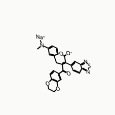 CN(C)c1cccc(CC(C(=O)c2ccc3c(c2)OCCO3)=C(C(=O)[O-])c2ccc3nsnc3c2)c1.[Na+]